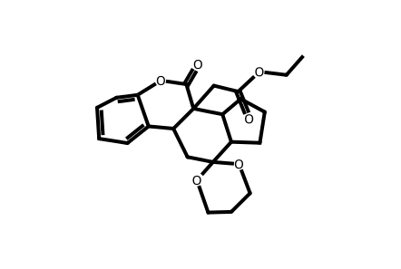 CCOC(=O)CC12C(=O)Oc3ccccc3C1CC1(OCCCO1)C1CCCC12